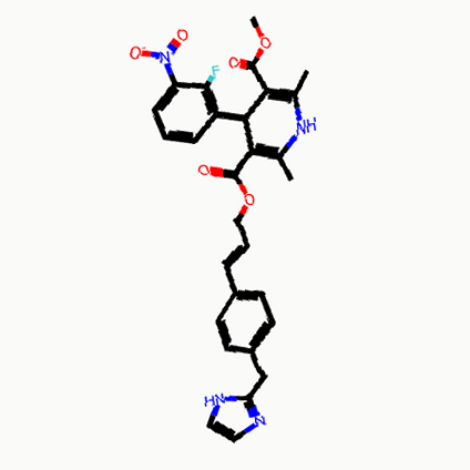 COC(=O)C1=C(C)NC(C)=C(C(=O)OCC=Cc2ccc(Cc3ncc[nH]3)cc2)C1c1cccc([N+](=O)[O-])c1F